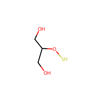 OCC(CO)OS